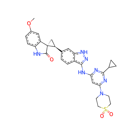 COc1ccc2c(c1)[C@]1(C[C@H]1c1ccc3c(Nc4cc(N5CCS(=O)(=O)CC5)nc(C5CC5)n4)n[nH]c3c1)C(=O)N2